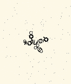 CC(=O)N1CCc2c(c(-c3ccc(Cl)cc3)nn2CC(CN2CCN(c3ccccc3C)CC2)OC(=O)N2CCOCC2)C1